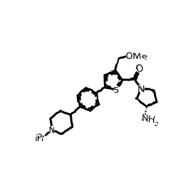 COCc1cc(-c2ccc(C3CCN(C(C)C)CC3)cc2)sc1C(=O)N1CC[C@H](N)C1